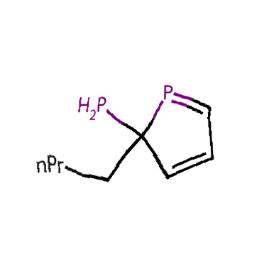 CCCCC1(P)C=CC=P1